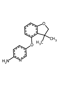 CC1(C)COc2cccc(Oc3ccc(N)nc3)c21